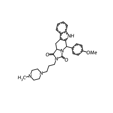 COc1ccc(C2c3[nH]c4ccccc4c3CC3C(=O)N(CCCN4CCN(C)CC4)C(=O)N32)cc1